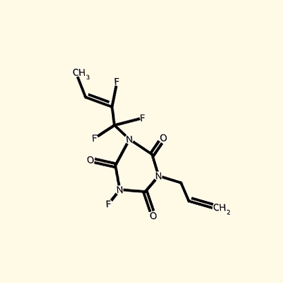 C=CCn1c(=O)n(F)c(=O)n(C(F)(F)C(F)=CC)c1=O